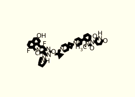 C#Cc1c(F)ccc2cc(O)cc(-c3ncc4c(N5CC6CCC(C5)N6)nc(OCC5(CN6CCC7(CC6)CC([n+]6ccc(-c8cccc9c8n(C)c(=O)n9C8CCC(=O)NC8=O)cc6)C7)CC5)nc4c3F)c12